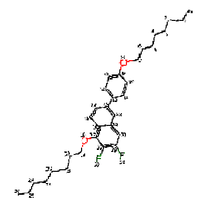 CCCCCCCCOc1ccc(-c2ccc3c(OCCCCCCCC)c(F)c(F)cc3c2)cc1